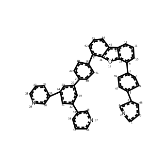 c1cncc(-c2ccc(-c3cccc4c3oc3c(-c5ccc(-c6cc(-c7cccnc7)cc(-c7cccnc7)c6)cc5)cccc34)cc2)c1